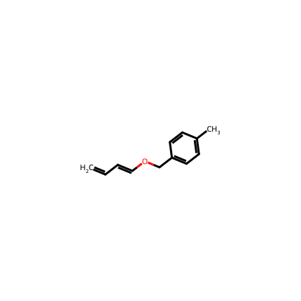 C=CC=COCc1ccc(C)cc1